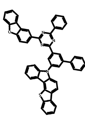 c1ccc(-c2cc(-c3nc(-c4ccccc4)nc(-c4ccc5oc6ccccc6c5c4)n3)cc(-n3c4ccccc4c4c5sc6ccccc6c5ccc43)c2)cc1